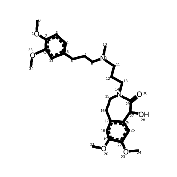 COc1ccc(CCCN(C)CCCN2CCc3cc(OC)c(OC)cc3C(O)C2=O)cc1OC